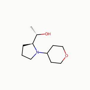 C[C@H](O)[C@@H]1CCCN1C1CCOCC1